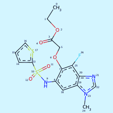 CCOC(=O)COc1c(NS(=O)(=O)c2cccs2)cc2c(ncn2C)c1F